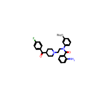 COc1cccc(N(CCN2CCC(C(=O)c3ccc(F)cc3)CC2)C(=O)c2ccccc2N)c1